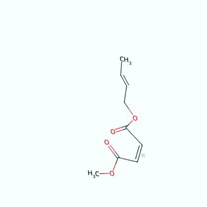 CC=CCOC(=O)/C=C\C(=O)OC